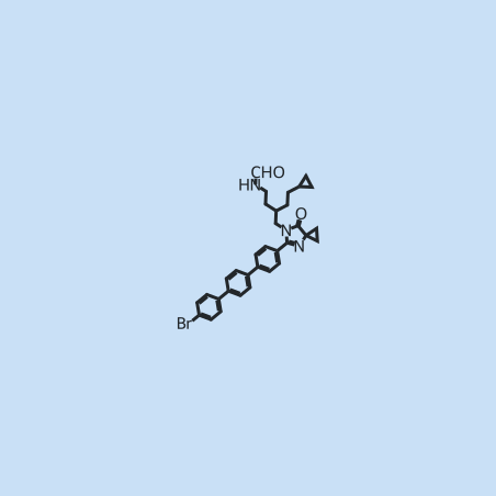 O=CNCCC(CCC1CC1)CN1C(=O)C2(CC2)N=C1c1ccc(-c2ccc(-c3ccc(Br)cc3)cc2)cc1